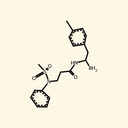 BC(Cc1ccc(C)cc1)NC(=O)CCN(c1ccccc1)S(C)(=O)=O